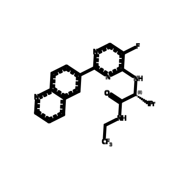 CC(C)[C@@H](Nc1nc(-c2ccc3ncccc3c2)ncc1F)C(=O)NCC(F)(F)F